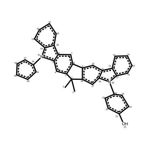 CC1(C)c2cc3c(cc2-c2cc4c5ccccc5n(-c5ccc(O)cc5)c4cc21)c1ccccc1n3-c1ccccc1